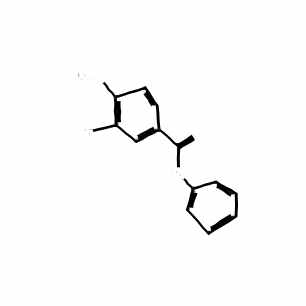 CSc1ccc(C(=O)Nc2ccccc2)cc1N